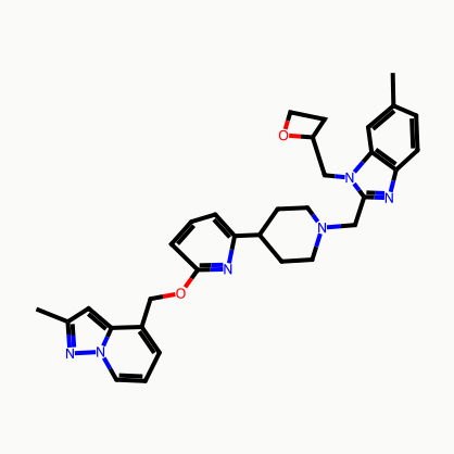 Cc1ccc2nc(CN3CCC(c4cccc(OCc5cccn6nc(C)cc56)n4)CC3)n(CC3CCO3)c2c1